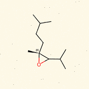 CC(C)CC[C@@]1(C)OC1C(C)C